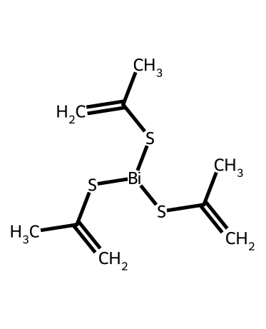 C=C(C)[S][Bi]([S]C(=C)C)[S]C(=C)C